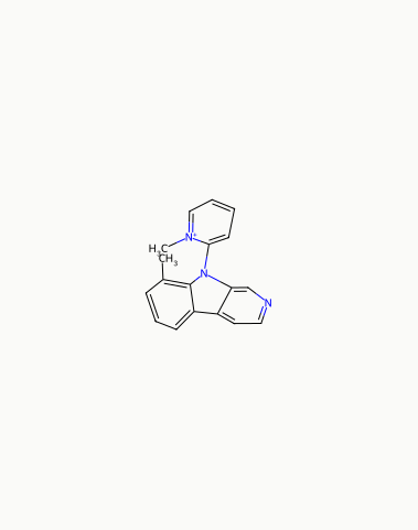 Cc1cccc2c3ccncc3n(-c3cccc[n+]3C)c12